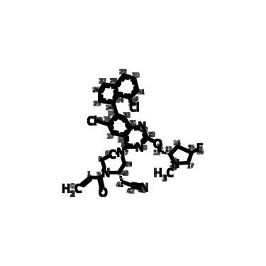 C=CC(=O)N1CCN(c2nc(OC[C@@H]3C[C@@H](F)CN3C)nc3cc(-c4cccc5cccc(Cl)c45)c(Cl)cc23)C[C@@H]1CC#N